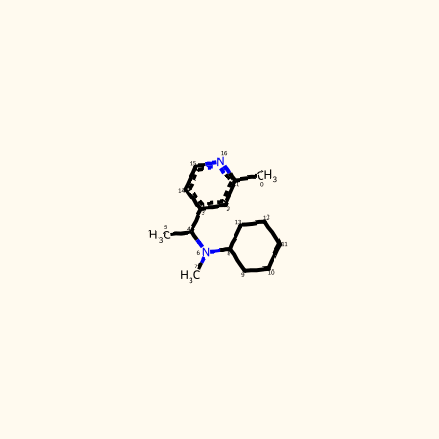 Cc1cc(C(C)N(C)C2CCCCC2)ccn1